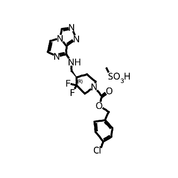 CS(=O)(=O)O.O=C(OCc1ccc(Cl)cc1)N1CC[C@H](CNc2nccn3cnnc23)C(F)(F)C1